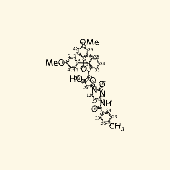 COc1ccc(C(OC[C@H]2O[C@@H](n3ccc(NC(=O)c4ccc(C)cc4)nc3=O)C[C@@H]2O)(c2ccccc2)c2ccc(OC)cc2)cc1